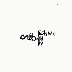 CNCCN(C)Cc1nn2c(c1C1CCC3(CC1)CCN(Cc1ccccc1)C3=O)COCC2